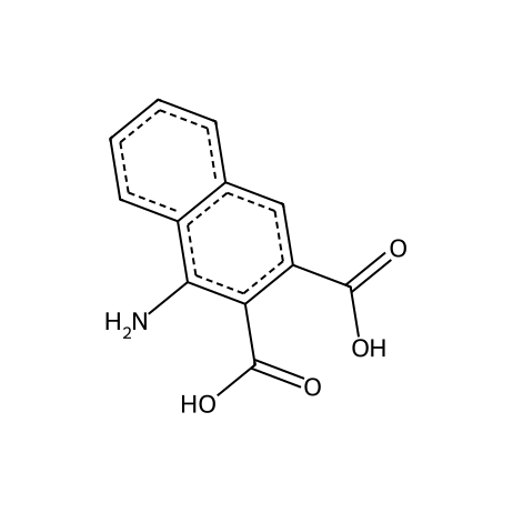 Nc1c(C(=O)O)c(C(=O)O)cc2ccccc12